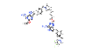 CCCCOc1nc(N)c2[nH]cc(Cc3ccc(CN4CCC(CCCCOc5nc(N)c6[nH]cc(Cc7ccc(CN8CCC(F)(F)C8)cc7)c6n5)C4)cc3)c2n1